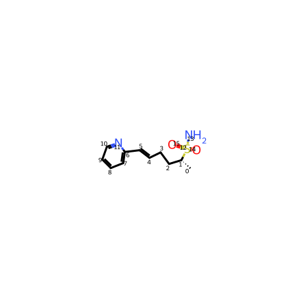 C[C@H](CCC=Cc1ccccn1)S(N)(=O)=O